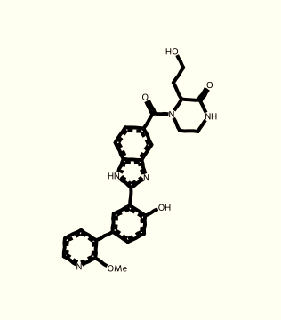 COc1ncccc1-c1ccc(O)c(-c2nc3cc(C(=O)N4CCNC(=O)C4CCO)ccc3[nH]2)c1